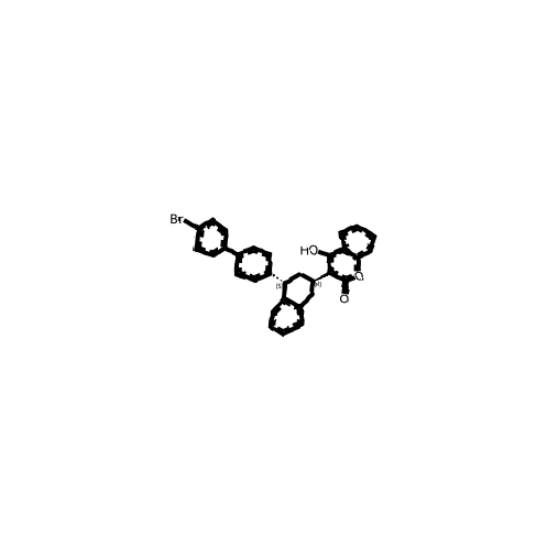 O=c1oc2ccccc2c(O)c1[C@H]1Cc2ccccc2[C@H](c2ccc(-c3ccc(Br)cc3)cc2)C1